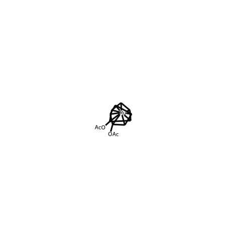 CC(=O)O[C]12[CH]3[CH]4[CH]5[CH]1[Ru]45321678[CH]2[CH]1[CH]6[C]7(OC(C)=O)[CH]28